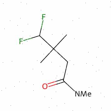 [CH2]NC(=O)CC(C)(C)C(F)F